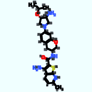 Cc1ccc2c(N)c(C(=O)N[C@H]3COc4cc(N5C[C@H](OC(C)C)[C@@H](N)C5)ccc4C3)sc2n1